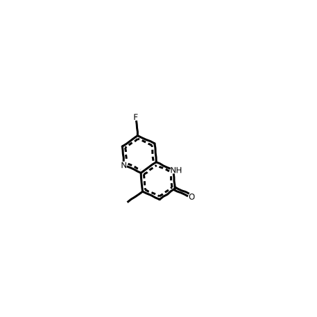 Cc1cc(=O)[nH]c2cc(F)cnc12